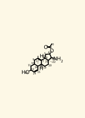 CC(=O)OC1C[C@H]2C3=CCC4CC(O)C=C[C@]4(C)[C@@H]3CC[C@]2(C)C1N